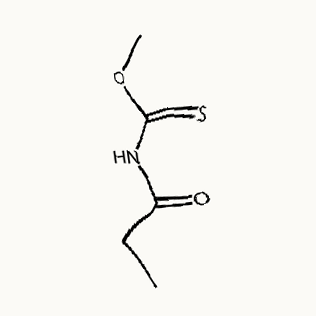 CCC(=O)NC(=S)OC